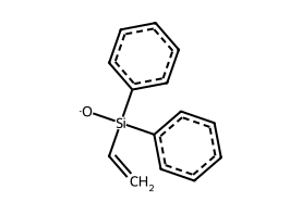 C=C[Si]([O])(c1ccccc1)c1ccccc1